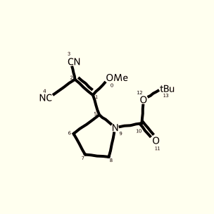 COC(=C(C#N)C#N)C1CCCN1C(=O)OC(C)(C)C